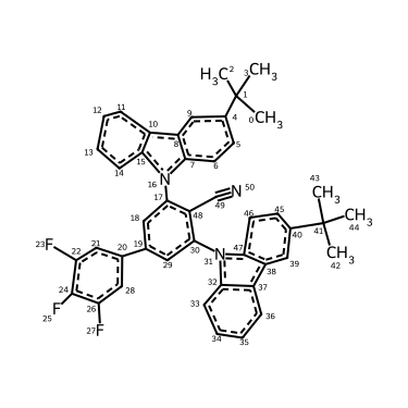 CC(C)(C)c1ccc2c(c1)c1ccccc1n2-c1cc(-c2cc(F)c(F)c(F)c2)cc(-n2c3ccccc3c3cc(C(C)(C)C)ccc32)c1C#N